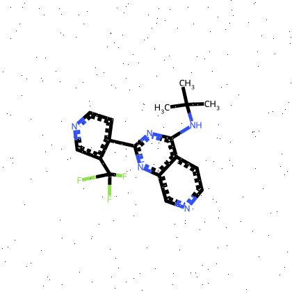 CC(C)(C)Nc1nc(-c2ccncc2C(F)(F)F)nc2cnccc12